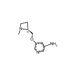 CN1CC[C@H]1COc1cncc(N)c1